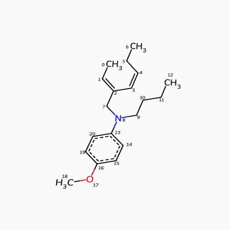 C/C=C(\C=C/CC)CN(CCCC)c1ccc(OC)cc1